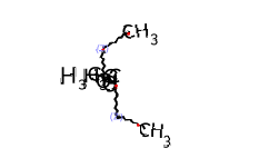 CCCCCCCC/C=C\CCCCCCCC(CC)OC(=O)OC(CC)CCCCCCC/C=C\CCCCCCCC